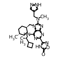 C[C@@H](Nc1nc(-c2noc(=O)[nH]2)nc2nc(N(C)Cc3cn[nH]c3)n(C[C@H]3CC[C@H](C)CC3)c12)C1CCC1